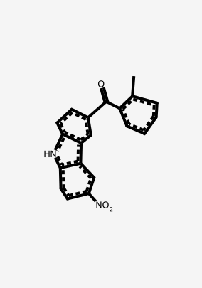 Cc1ccccc1C(=O)c1ccc2[nH]c3ccc([N+](=O)[O-])cc3c2c1